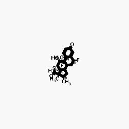 C[C@@H]1CC2C3C[C@H](F)C4=CC(=O)C=C[C@]4(C)[C@@]3(F)[C@@H](O)C[C@]2(C)[C@@]1(C)C(=O)S